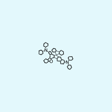 c1ccc(N(c2ccccc2)c2ccc3cc4c(cc3c2)C2(c3ccccc3-c3ccccc32)c2c-4c3oc4ccccc4c3c3cc(N(c4ccccc4)c4ccccc4)ccc23)cc1